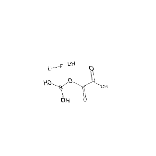 O=C(O)C(=O)OB(O)O.[LiH].[Li][F]